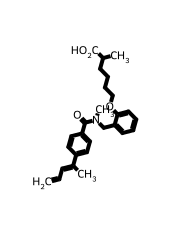 C=C/C=C(\C)c1ccc(C(=O)N(C)Cc2ccccc2OCCCCC(C)C(=O)O)cc1